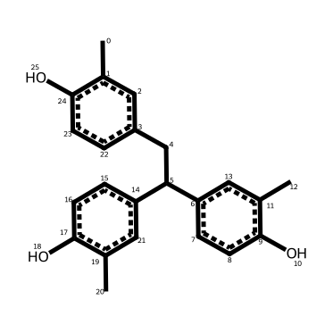 Cc1cc(CC(c2ccc(O)c(C)c2)c2ccc(O)c(C)c2)ccc1O